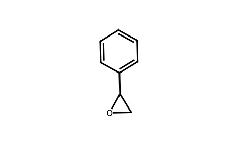 [c]1ccc(C2CO2)cc1